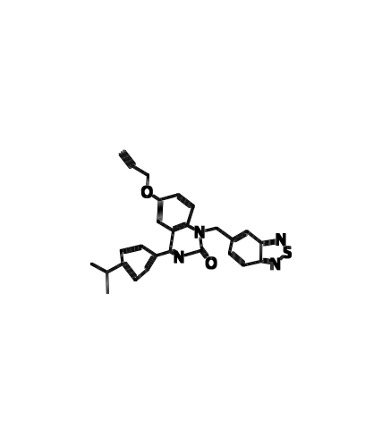 C#CCOc1ccc2c(c1)c(-c1ccc(C(C)C)cc1)nc(=O)n2Cc1ccc2nsnc2c1